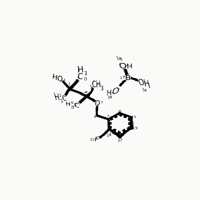 CC(C)(O)C(C)(C)OCc1ccccc1F.OB(O)O